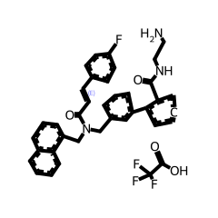 NCCNC(=O)c1ccccc1-c1cccc(CN(Cc2cccc3ccccc23)C(=O)/C=C/c2ccc(F)cc2)c1.O=C(O)C(F)(F)F